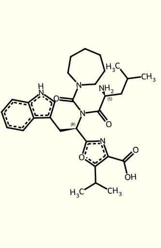 CC(C)C[C@H](N)C(=O)N(C(=O)N1CCCCCC1)[C@H](Cc1c[nH]c2ccccc12)c1nc(C(=O)O)c(C(C)C)o1